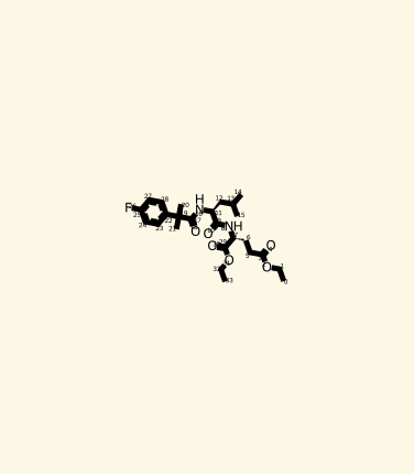 CCOC(=O)CC[C@@H](NC(=O)[C@H](CC(C)C)NC(=O)C(C)(C)c1ccc(F)cc1)C(=O)OCC